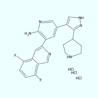 Cl.Cl.Cl.Nc1ncc(-c2c[nH]nc2C2CCNCC2)cc1-c1cc2c(F)ccc(F)c2cn1